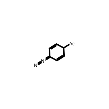 CC(=O)C1C=CC(=[N+]=[N-])C=C1